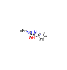 CCCNC[C@@H](O)[C@@H](N)Cc1ccccc1